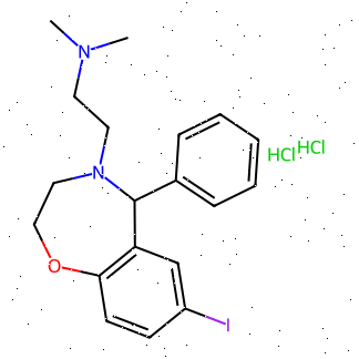 CN(C)CCN1CCOc2ccc(I)cc2C1c1ccccc1.Cl.Cl